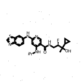 CC(C)Nc1cc(Nc2ccc3ncsc3c2)ncc1C(=O)NC[C@@H](F)C(C)(O)C1CC1